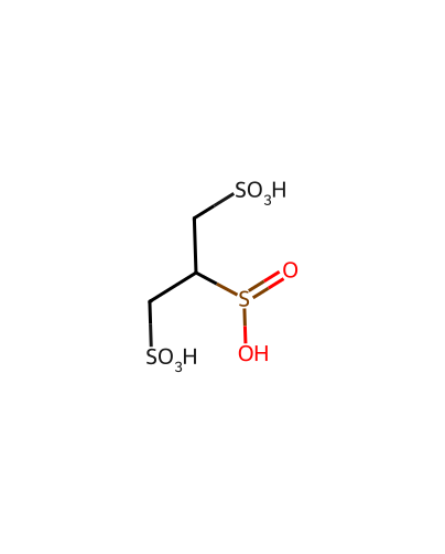 O=S(O)C(CS(=O)(=O)O)CS(=O)(=O)O